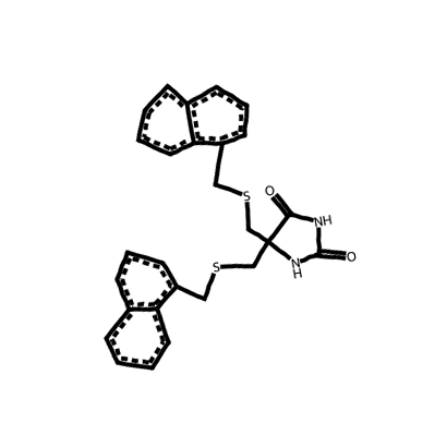 O=C1NC(=O)C(CSCc2cccc3ccccc23)(CSCc2cccc3ccccc23)N1